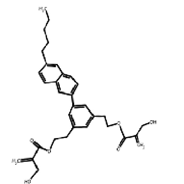 C=C(CO)C(=O)OCCc1cc(CCOC(=O)C(=C)CO)cc(-c2ccc3cc(CCCCC)ccc3c2)c1